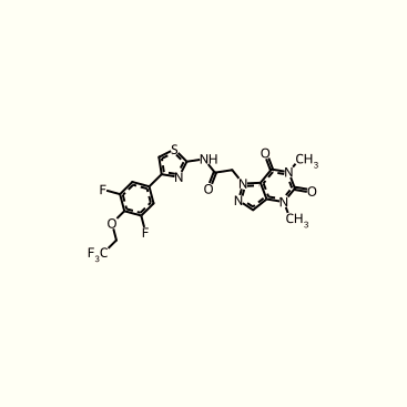 Cn1c(=O)c2c(cnn2CC(=O)Nc2nc(-c3cc(F)c(OCC(F)(F)F)c(F)c3)cs2)n(C)c1=O